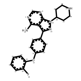 Nc1ncnc2c1c(-c1ccc(Oc3ccccc3F)cc1)nn2C1CCNCC1